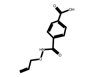 C=CCONC(=O)c1ccc(C(=O)O)cc1